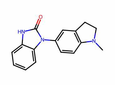 CN1CCc2cc(-n3c(=O)[nH]c4ccccc43)ccc21